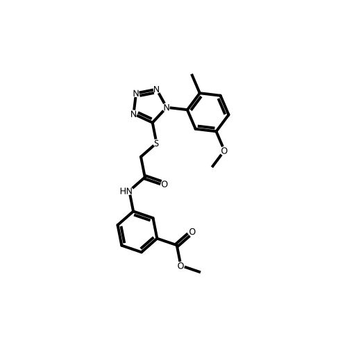 COC(=O)c1cccc(NC(=O)CSc2nnnn2-c2cc(OC)ccc2C)c1